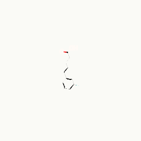 O=C(O)CCC=Cc1cc(F)cc(F)c1